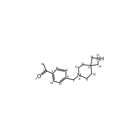 CC(=O)c1ccc(CN2CCC3(CC2)CNC3)cc1